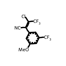 COc1cc(/C(C#N)=C(/Cl)C(F)(F)F)cc(C(F)(F)F)c1